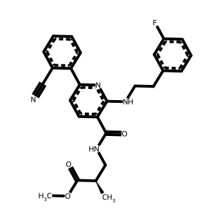 COC(=O)[C@H](C)CNC(=O)c1ccc(-c2ccccc2C#N)nc1NCCc1cccc(F)c1